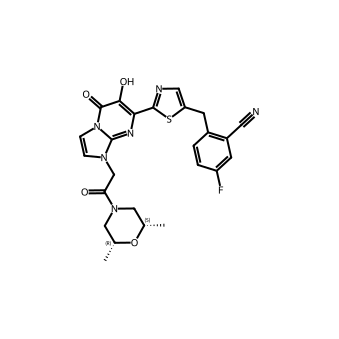 C[C@@H]1CN(C(=O)Cn2ccn3c(=O)c(O)c(-c4ncc(Cc5ccc(F)cc5C#N)s4)nc23)C[C@H](C)O1